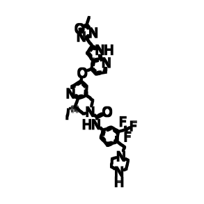 CC[C@H]1CN(C(=O)Nc2ccc(CN3CCNCC3)c(C(F)(F)F)c2)Cc2cc(Oc3ccnc4[nH]c(-c5noc(C)n5)cc34)cnc21